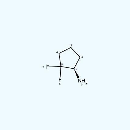 N[C@@H]1CCCC1(F)F